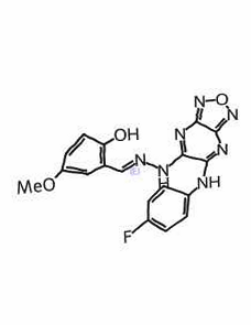 COc1ccc(O)c(/C=N/Nc2nc3nonc3nc2Nc2ccc(F)cc2)c1